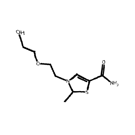 CC1SC(C(N)=O)=CN1CCOCCO